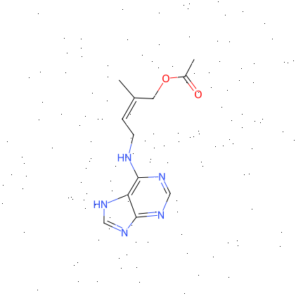 CC(=O)OCC(C)=CCNc1ncnc2nc[nH]c12